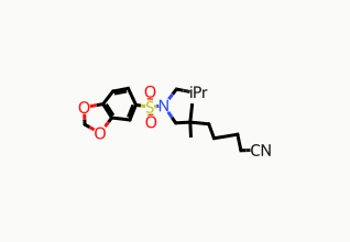 CC(C)CN(CC(C)(C)CCCCC#N)S(=O)(=O)c1ccc2c(c1)OCO2